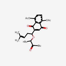 CCCCC(OC(CC=C(C)C)C1=CC(=O)c2c(OC(C)=O)ccc(OC(C)=O)c2C1=O)C(=O)C(C)CC